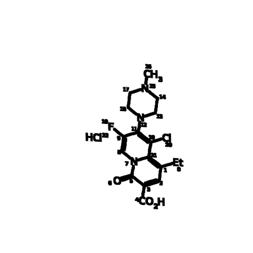 CCc1cc(C(=O)O)c(=O)n2cc(F)c(N3CCN(C)CC3)c(Cl)c12.Cl